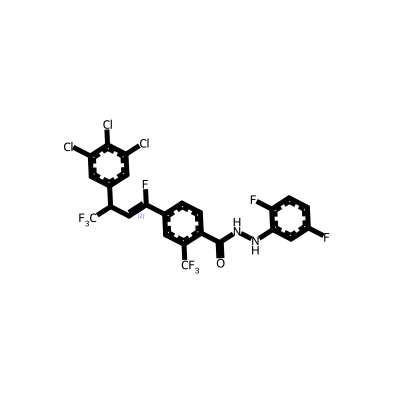 O=C(NNc1cc(F)ccc1F)c1ccc(/C(F)=C/C(c2cc(Cl)c(Cl)c(Cl)c2)C(F)(F)F)cc1C(F)(F)F